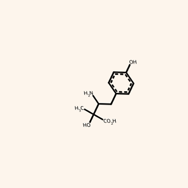 CC(O)(C(=O)O)C(N)Cc1ccc(O)cc1